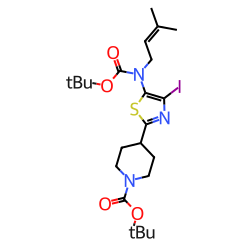 CC(C)=CCN(C(=O)OC(C)(C)C)c1sc(C2CCN(C(=O)OC(C)(C)C)CC2)nc1I